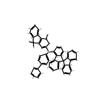 CC1CC(N(c2ccc(-c3ccccc3)cc2)c2cccc3c2-c2ccccc2C32c3ccccc3-c3ccccc32)=CC2=C1c1ccccc1C2(C)C